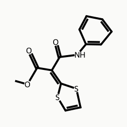 COC(=O)C(C(=O)Nc1ccccc1)=C1SC=CS1